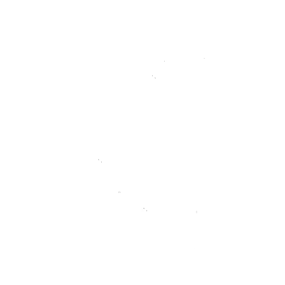 CCOC(=O)CC(CO)NC(=O)[C@@H]1CCCN(C(=O)CCC2CCN(C(=O)OC(C)(C)C)CC2)C1